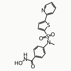 CN(c1ccc(C(=O)NO)cc1)S(=O)(=O)c1ccc(-c2ccccn2)s1